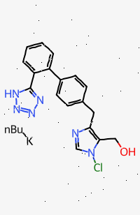 CCC[CH2][K].OCc1c(Cc2ccc(-c3ccccc3-c3nnn[nH]3)cc2)ncn1Cl